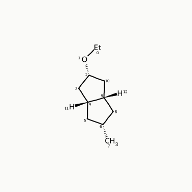 CCO[C@H]1C[C@H]2C[C@@H](C)C[C@H]2C1